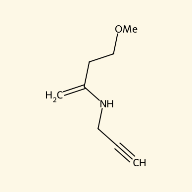 C#CCNC(=C)CCOC